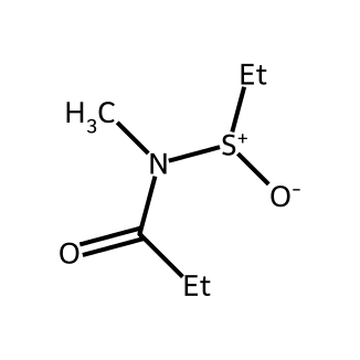 CCC(=O)N(C)[S+]([O-])CC